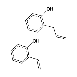 C=CCc1ccccc1O.C=Cc1ccccc1O